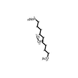 CCCCCCCCCCCCCCCCCCOC(C)=O.CCO